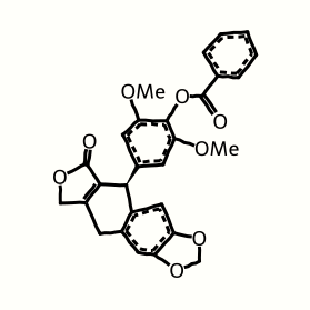 COc1cc([C@@H]2C3=C(COC3=O)Cc3cc4c(cc32)OCO4)cc(OC)c1OC(=O)c1ccccc1